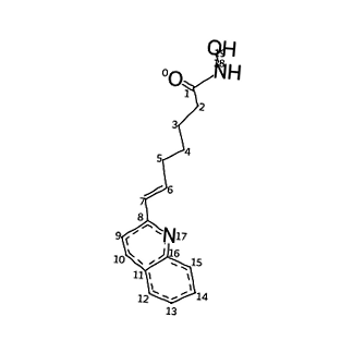 O=C(CCCCC=Cc1ccc2ccccc2n1)NO